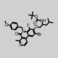 COc1ccc(Cn2c(=O)c3c(C)nccc3c3cc(Br)c(OCC(CC(C)C)NC(=O)OC(C)(C)C)c(F)c32)cc1